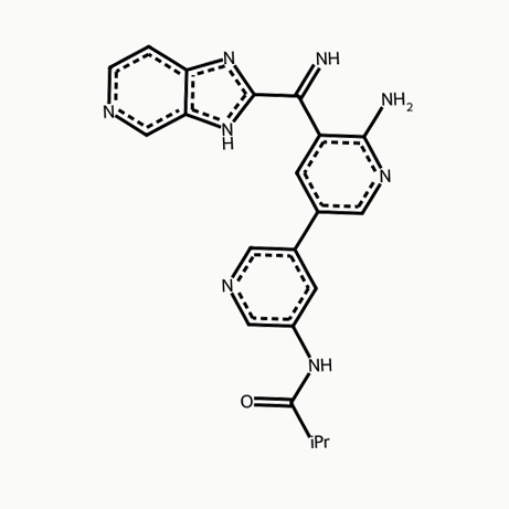 CC(C)C(=O)Nc1cncc(-c2cnc(N)c(C(=N)c3nc4ccncc4[nH]3)c2)c1